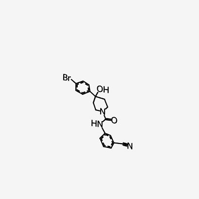 N#Cc1cccc(NC(=O)N2CCC(O)(c3ccc(Br)cc3)CC2)c1